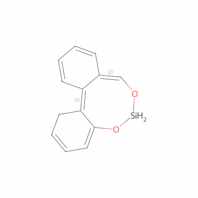 C1=CC/C2=c3\cccc\c3=C\O[SiH2]OC2=C1